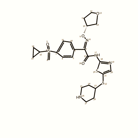 C=S(=O)(c1ccc(/C(=N\O[C@@H]2CCOC2)C(=O)Nc2ncc(SC3CCNCC3)s2)cc1)C1CC1